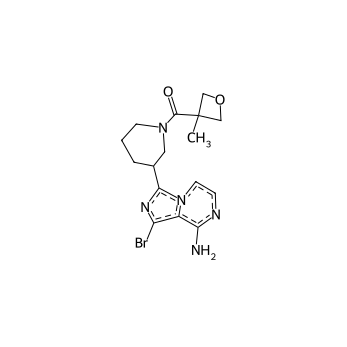 CC1(C(=O)N2CCCC(c3nc(Br)c4c(N)nccn34)C2)COC1